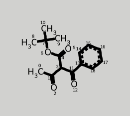 CC(=O)C(C(=O)OC(C)(C)C)C(=O)c1ccccc1